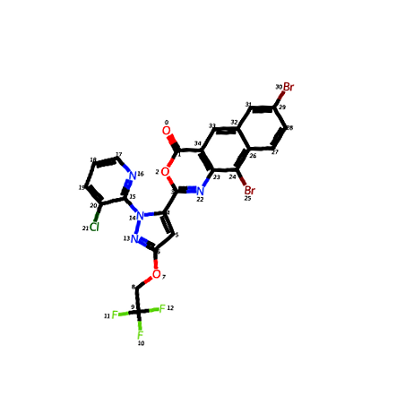 O=c1oc(-c2cc(OCC(F)(F)F)nn2-c2ncccc2Cl)nc2c(Br)c3ccc(Br)cc3cc12